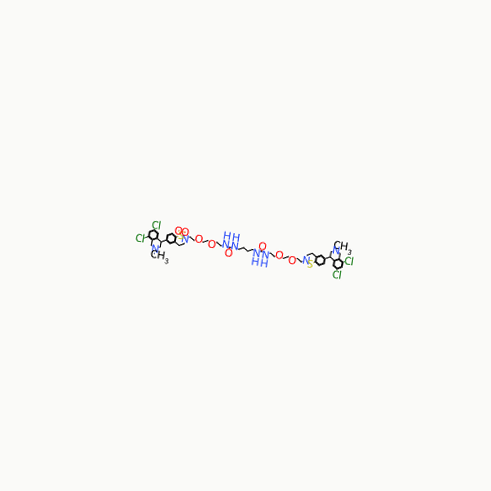 CN1Cc2c(Cl)cc(Cl)cc2C(c2ccc3c(c2)CCN(CCOCCOCCNC(=O)NCCCCNC(=O)NCCOCCOCCN2CCc4cc(C5CN(C)Cc6c(Cl)cc(Cl)cc65)ccc4S2(=O)=O)S3)C1